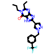 CCCn1c(CC)nc2nc(-c3cnn(Cc4cccc(C(F)(F)F)c4)c3)[nH]c2c1=O